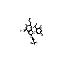 CCCC(CC)N(C(=O)c1ccc(C)cc1C)C1=C(C(=O)O)SC(C#CC(C)(C)C)C1